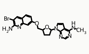 CNc1ncnc2c1ccn2C1CCC(COc2ccc3cc(Br)c(N)nc3c2)O1